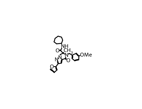 COc1cccc(CN2C(=O)c3cc(-c4ccco4)nn3CC2(C)C(=O)NC2CCCCCC2)c1